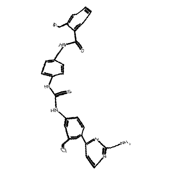 Nc1nccc(-c2ccc(NC(=S)Nc3ccc(NC(=O)c4ccccc4F)cc3)cc2Cl)n1